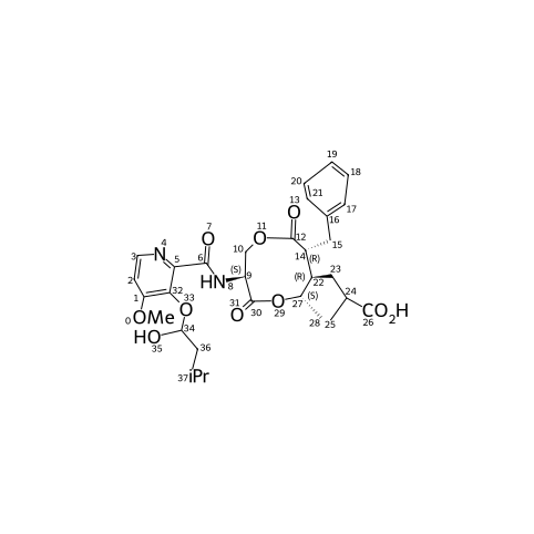 COc1ccnc(C(=O)N[C@H]2COC(=O)[C@H](Cc3ccccc3)[C@@H](CC(C)C(=O)O)[C@H](C)OC2=O)c1OC(O)CC(C)C